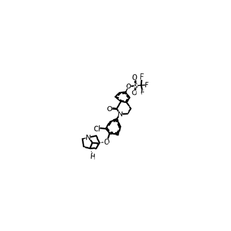 CC1[C@@H]2CC[N@@]1C[C@H](Oc1ccc(N3CCc4cc(OS(=O)(=O)C(F)(F)F)ccc4C3=O)cc1Cl)C2